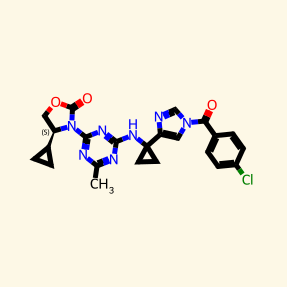 Cc1nc(NC2(c3cn(C(=O)c4ccc(Cl)cc4)cn3)CC2)nc(N2C(=O)OC[C@@H]2C2CC2)n1